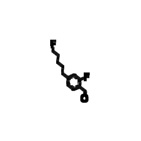 O=Cc1ccc(CCCCCF)cc1F